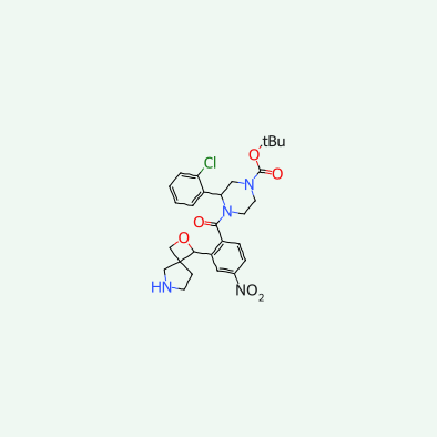 CC(C)(C)OC(=O)N1CCN(C(=O)c2ccc([N+](=O)[O-])cc2C2OCC23CCNC3)C(c2ccccc2Cl)C1